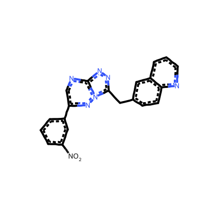 O=[N+]([O-])c1cccc(-c2cnc3nnc(Cc4ccc5ncccc5c4)n3n2)c1